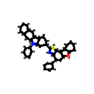 c1ccc(-c2cc3oc4ccccc4c3c3sc(-c4ccc5c6cc7ccccc7cc6n(-c6ccccc6)c5c4)nc23)cc1